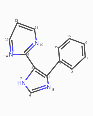 c1ccc(-c2nc[nH]c2-c2ncccn2)cc1